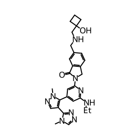 CCNc1cc(-c2c(-c3nncn3C)cnn2C)cc(N2Cc3ccc(CNCC4(O)CCC4)cc3C2=O)n1